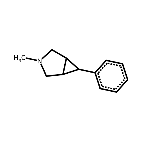 CN1CC2C(C1)C2c1ccccc1